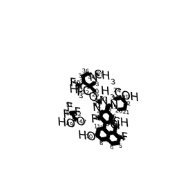 C#Cc1c(F)ccc2cc(O)cc(-c3c(Cl)cc4c(N5CCC[C@@](C)(O)C5)nc(OC[C@]5(C)CN(C)CC[C@@H]5C(F)F)nc4c3F)c12.O=C(O)C(F)(F)F